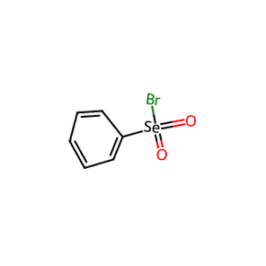 O=[Se](=O)(Br)c1ccccc1